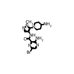 Cn1ncc(NC(=O)c2nc(Br)cnc2N)c1N1CCC(N)CC1